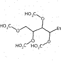 CCC(OC(=O)O)C(OC(=O)O)C(COC(=O)O)OC(=O)O